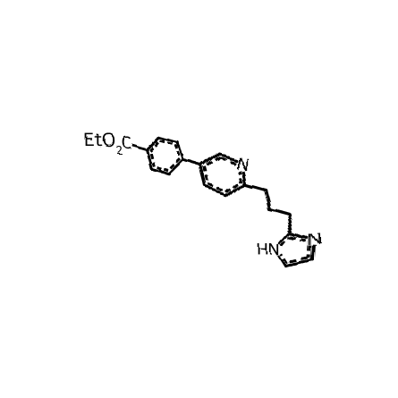 CCOC(=O)c1ccc(-c2ccc(CCCc3ncc[nH]3)nc2)cc1